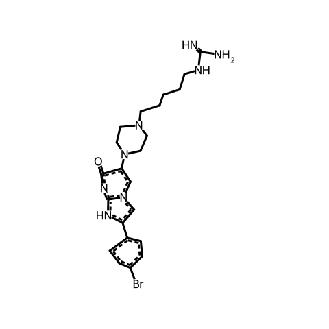 N=C(N)NCCCCCN1CCN(c2cn3cc(-c4ccc(Br)cc4)[nH]c3nc2=O)CC1